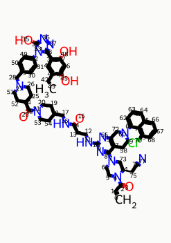 C=CC(=O)N1CCN(c2nc(NCCC(=O)NCC3CCN(C(=O)C4CCN(Cc5ccc(-n6c(O)nnc6-c6cc(CC)c(O)cc6O)cc5)CC4)CC3)nc3c2CCN(c2cccc4cccc(Cl)c24)C3)C[C@H]1CC#N